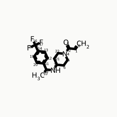 C=CC(=O)N1CCC(NC(C)c2ccc(C(F)(F)F)cc2)CC1